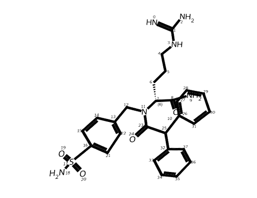 N=C(N)NCCC[C@H](C(N)=O)N(Cc1ccc(S(N)(=O)=O)cc1)C(=O)C(c1ccccc1)c1ccccc1